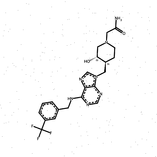 NC(=O)CN1CC[C@@H](Cn2cnc3c(NCc4cccc(C(F)(F)F)c4)ncnc32)[C@H](O)C1